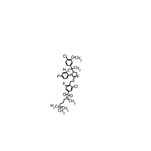 COc1cc(C(C)(C)C2CN=C(SCc3c(F)cc(S(=O)(=O)N(C)CCC[N+](C)(C)C)cc3Cl)N2c2ccc(F)cc2)ccc1Cl